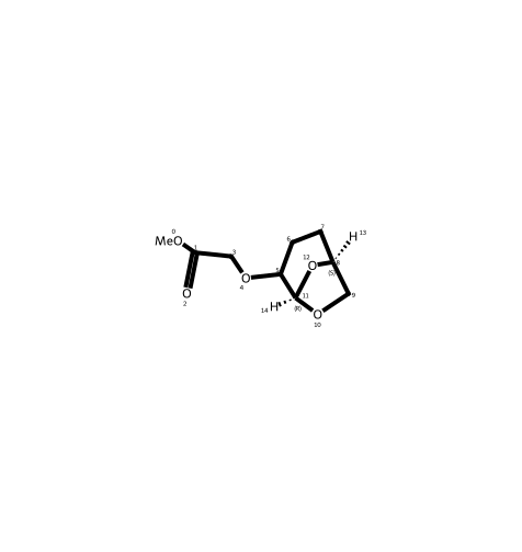 COC(=O)COC1CC[C@H]2CO[C@@H]1O2